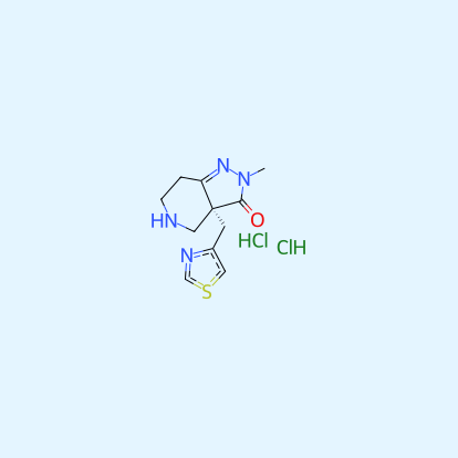 CN1N=C2CCNC[C@]2(Cc2cscn2)C1=O.Cl.Cl